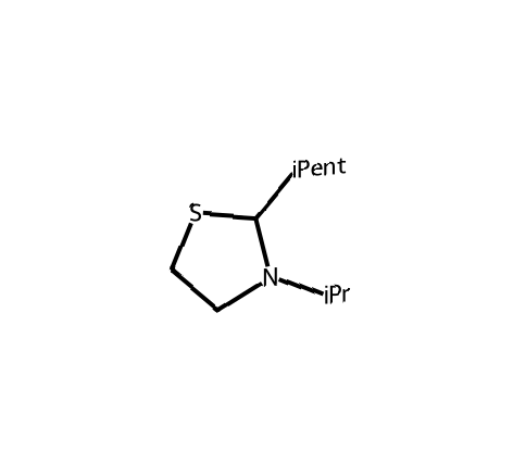 CCCC(C)C1SCCN1C(C)C